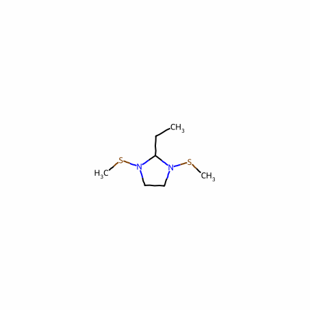 CCC1N(SC)CCN1SC